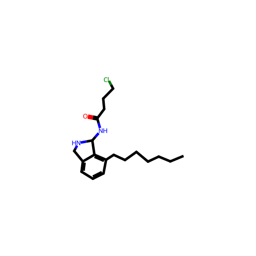 CCCCCCCc1cccc2c1C(NC(=O)CCCCl)NC2